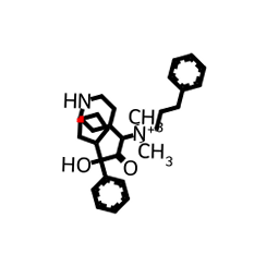 C[N+](C)(CCCc1ccccc1)C(C(=O)C(O)(c1ccccc1)C1CCCC1)C1CCNCC1